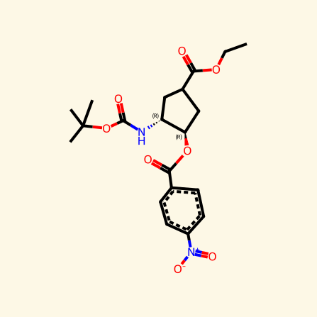 CCOC(=O)C1C[C@@H](NC(=O)OC(C)(C)C)[C@H](OC(=O)c2ccc([N+](=O)[O-])cc2)C1